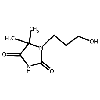 CC1(C)C(=O)NC(=O)N1CCCO